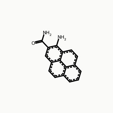 NC(=O)c1cc2ccc3cccc4ccc(c1N)c2c34